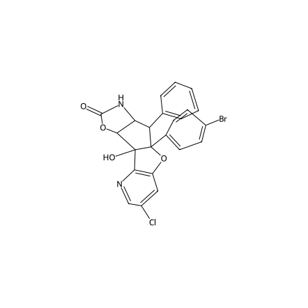 O=C1NC2C(O1)C1(O)c3ncc(Cl)cc3OC1(c1ccc(Br)cc1)C2c1ccccc1